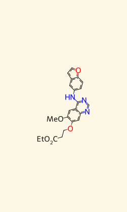 CCOC(=O)CCOc1cc2ncnc(Nc3ccc4occc4c3)c2cc1OC